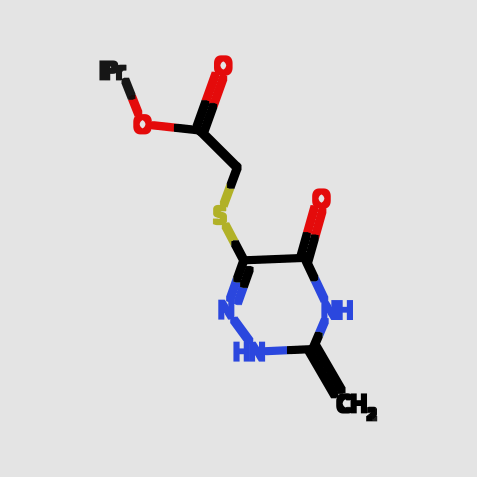 C=C1NN=C(SCC(=O)OC(C)C)C(=O)N1